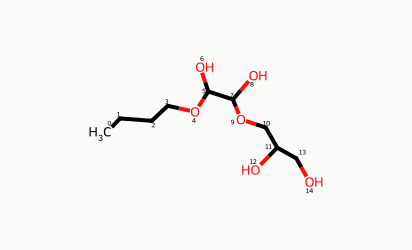 CCCCOC(O)C(O)OCC(O)CO